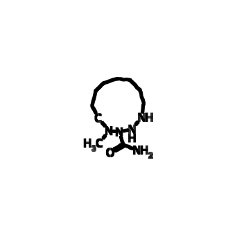 CN1CCCCCCCCNNN1C(N)=O